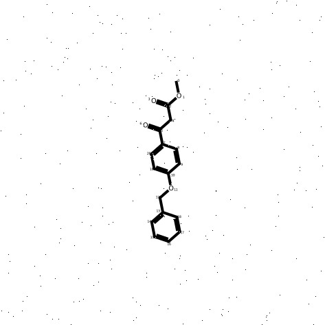 COC(=O)CC(=O)c1ccc(OCc2ccccc2)cc1